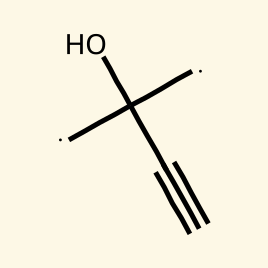 C#CC([CH2])([CH2])O